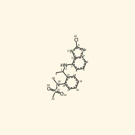 CC(Nc1cccn2nc(Cl)nc12)c1ccccc1N(C)S(C)(=O)=O